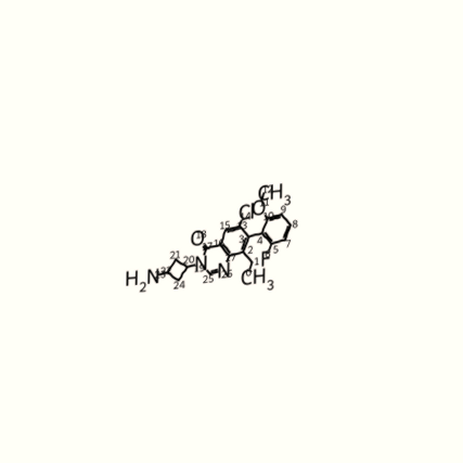 CCc1c(-c2c(F)cccc2OC)c(Cl)cc2c(=O)n(C3CC(N)C3)cnc12